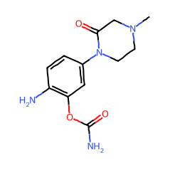 CN1CCN(c2ccc(N)c(OC(N)=O)c2)C(=O)C1